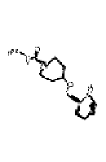 CC(C)OC(=O)N1CCC(ON=C2CCCCN2)CC1